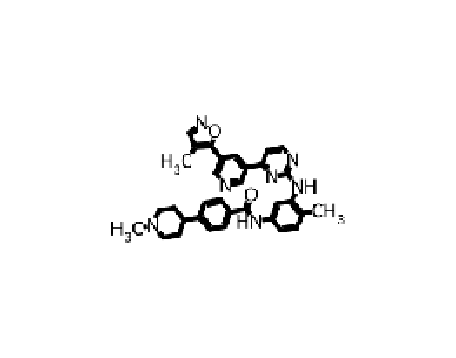 Cc1ccc(NC(=O)c2ccc(C3CCN(C)CC3)cc2)cc1Nc1nccc(-c2cncc(-c3oncc3C)c2)n1